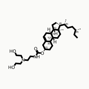 CC[C@@H](C)CC[C@@H](C)[C@H]1CC[C@H]2[C@@H]3CC=C4C[C@@H](OC(=O)NCCN(CCO)CCO)CC[C@]4(C)[C@H]3CC[C@]12C